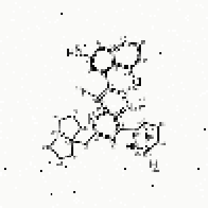 Oc1cc(-c2nnc3c(N4C[C@H]5CC[C@@H]4CN5)nc(CC45CCCN4CCC5)nc3c2F)c2c(Cl)cccc2c1